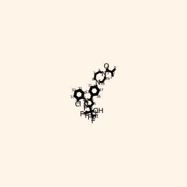 CC(C)C(=O)N1CCCN(c2ccc(C3CC(C(O)(C(F)(F)F)C(F)(F)F)=NN3c3ccccc3Cl)cc2)CC1